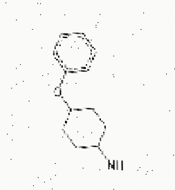 [NH]C1CCC(Oc2ccccc2)CC1